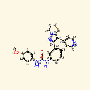 COc1ccc(NC(=O)Nc2cccc(-c3nn4c(c3-c3ccncc3)SCCC4)c2)cc1